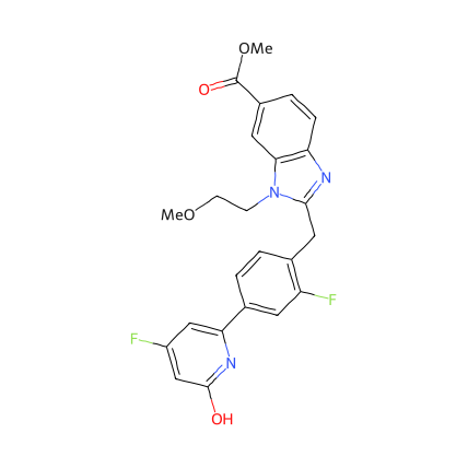 COCCn1c(Cc2ccc(-c3cc(F)cc(O)n3)cc2F)nc2ccc(C(=O)OC)cc21